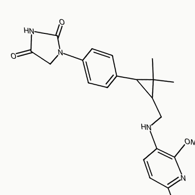 COc1ccc(NCC2C(c3ccc(N4CC(=O)NC4=O)cc3)C2(C)C)c(OC)n1